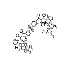 CC(C)(C)OC(=O)N[C@H](c1ccccc1)C(O)C1C(=O)c2ccc(S(=O)(=O)c3ccc4c(c3)C(=O)C(C(=O)[C@H](NC(=O)OC(C)(C)C)c3ccccc3)C4=O)cc2C1=O